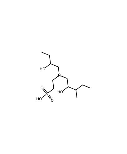 CCC(O)CN(CCS(=O)(=O)O)CC(O)C(C)CC